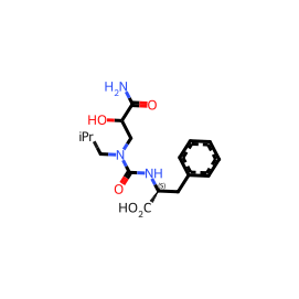 CC(C)CN(CC(O)C(N)=O)C(=O)N[C@@H](Cc1ccccc1)C(=O)O